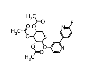 CC(=O)O[C@@H]1[C@@H](OC(C)=O)[C@H](OC(C)=O)CS[C@H]1Oc1ccnc(-c2ccc(F)nc2)c1